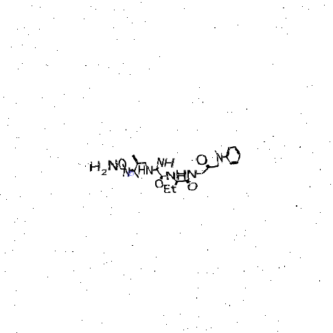 C=C(CNC(=N)C(=O)NC(CC)C(=O)NCC(=O)CN(C)c1ccccc1)/C(C)=N\ON